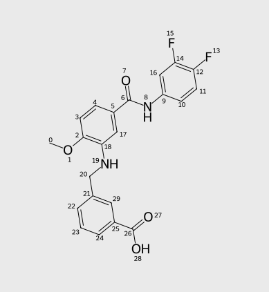 COc1ccc(C(=O)Nc2ccc(F)c(F)c2)cc1NCc1cccc(C(=O)O)c1